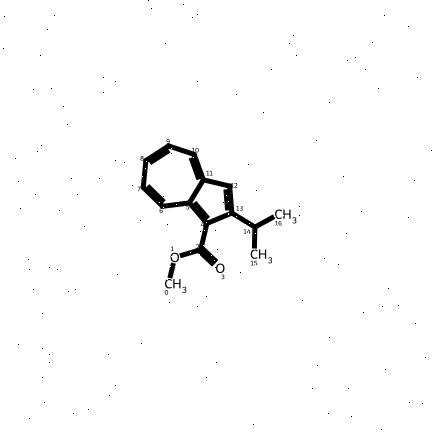 COC(=O)c1c2cccccc-2cc1C(C)C